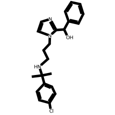 CC(C)(NCCCn1ccnc1C(O)c1ccccc1)c1ccc(Cl)cc1